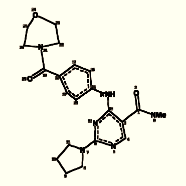 CNC(=O)c1cnc(N2CCCC2)nc1Nc1ccc(C(=O)N2CCOCC2)cc1